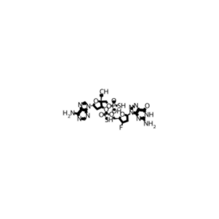 C#C[C@]1(COP(=O)(O)S)O[C@@H](n2cnc3c(N)ncnc32)CC1OP(=O)(S)OC[C@H]1O[C@@H](n2nnc3c(=O)[nH]c(N)nc32)C[C@H]1F